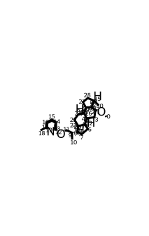 COC1C[C@H]2[C@@H]3CC[C@H](C(C)COc4cccc(C)n4)[C@@]3(C)CC[C@@H]2[C@@]2(C)CC[C@@H]3C[C@@]132